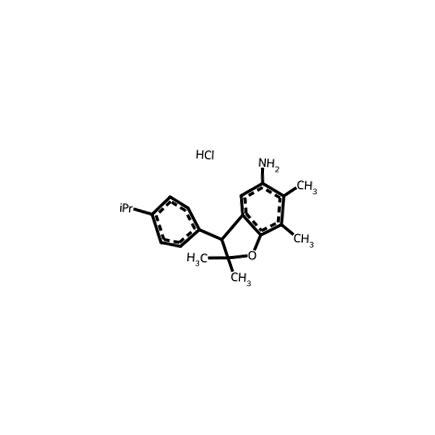 Cc1c(N)cc2c(c1C)OC(C)(C)C2c1ccc(C(C)C)cc1.Cl